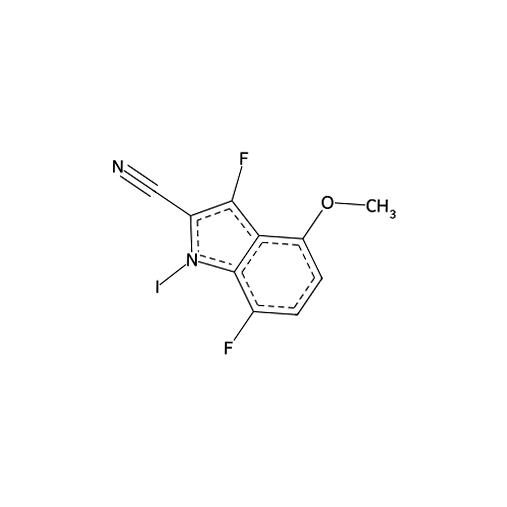 COc1ccc(F)c2c1c(F)c(C#N)n2I